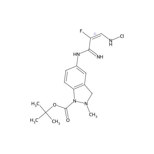 CN1Cc2cc(NC(=N)/C(F)=C\NCl)ccc2N1C(=O)OC(C)(C)C